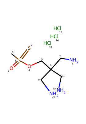 CS(=O)(=S)OCC(CN)(CN)CN.Cl.Cl.Cl